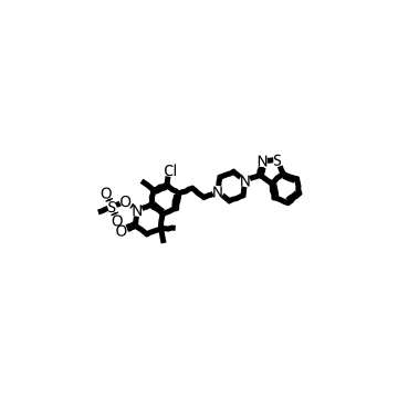 Cc1c(Cl)c(CCN2CCN(c3nsc4ccccc34)CC2)cc2c1N(OS(C)(=O)=O)C(=O)CC2(C)C